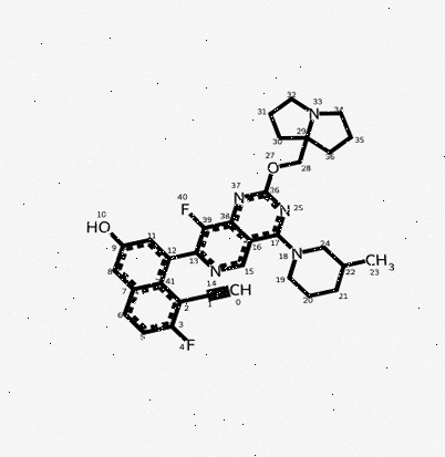 C#Cc1c(F)ccc2cc(O)cc(-c3ncc4c(N5CCCC(C)C5)nc(OCC56CCCN5CCC6)nc4c3F)c12